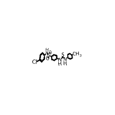 Cc1ccc(NC(=S)Nc2ccc(S(=O)(=O)Nc3ccc(Cl)cc3)cc2)cc1